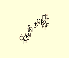 O=C(Cn1nc(C(F)(F)F)cc1C(F)(F)F)N1CCC(c2nc(C3=NOC(c4[c]cccc4C(F)(F)F)C3)cs2)CC1